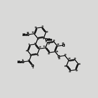 COC(=O)c1ccc(-c2c(OC)cccc2OC)c(-c2ccc(Cl)c(OCc3ccccc3)c2)c1